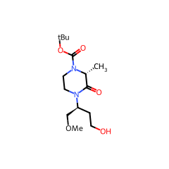 COC[C@H](CCO)N1CCN(C(=O)OC(C)(C)C)[C@H](C)C1=O